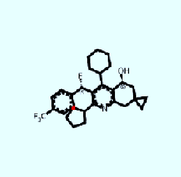 O[C@H]1CC2(CC2)Cc2nc(C3CCCC3)c([C@@H](F)c3ccc(C(F)(F)F)cc3)c(C3CCCCC3)c21